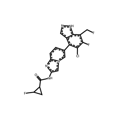 O=C(Nc1cn2cc(-c3c(Cl)c(F)c(CF)c4[nH]ncc34)ccc2n1)C1CC1F